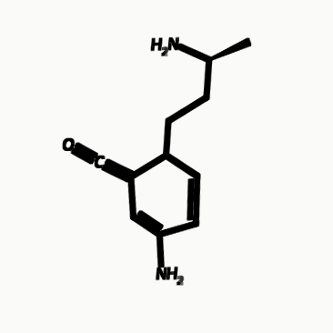 C[C@H](N)CCC1C=CC(N)=CC1=C=O